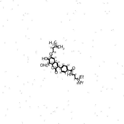 CCCN(CC)CCNC(=O)c1ccc(-c2cc3cc(OCCN(C)C)c(O)c(C=O)c3oc2=O)cc1